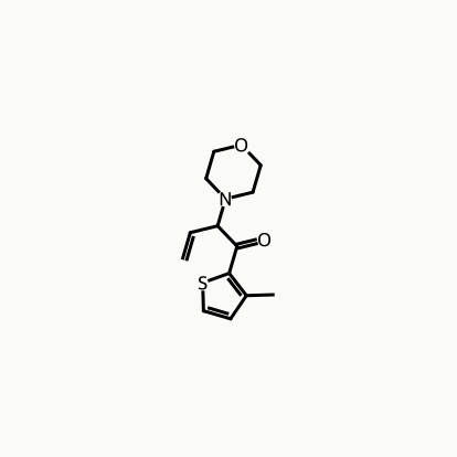 C=CC(C(=O)c1sccc1C)N1CCOCC1